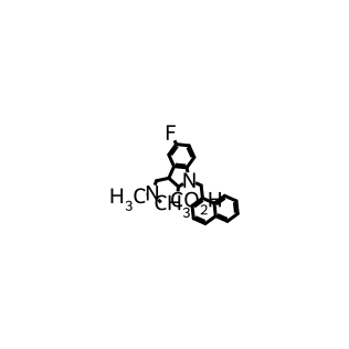 CN(C)CC1c2cc(F)ccc2N(Cc2cccc3ccccc23)C1C(=O)O